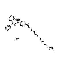 CCCCCCCCCCCCCCOc1ccc(C(=O)Nc2ccccc2C[n+]2ccsc2)cc1.[Br-]